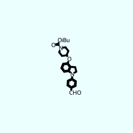 CC(C)COC(=O)N1CCC(Oc2cccc3c2CCN3c2ccc(C=O)cc2)CC1